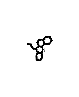 CC=Cc1c2ccccc2nc2c1ccc1ccccc12